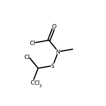 CN(SC(Cl)C(Cl)(Cl)Cl)C(=O)Cl